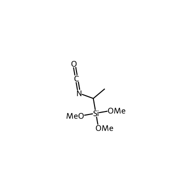 CO[Si](OC)(OC)C(C)N=C=O